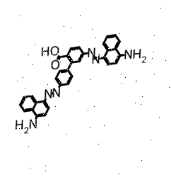 Nc1ccc(N=Nc2ccc(-c3cc(N=Nc4ccc(N)c5ccccc45)ccc3C(=O)O)cc2)c2ccccc12